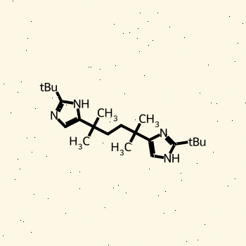 CC(C)(C)c1nc(C(C)(C)CCC(C)(C)c2cnc(C(C)(C)C)[nH]2)c[nH]1